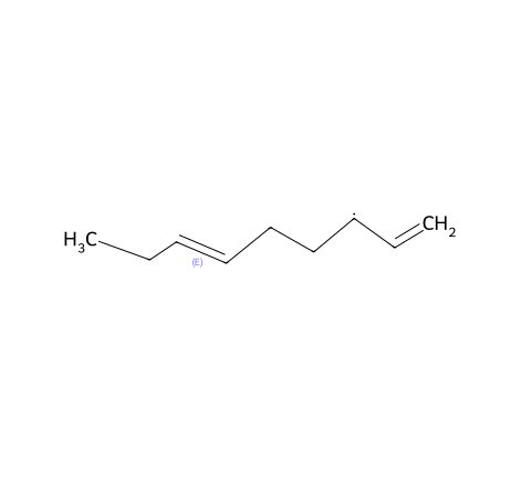 C=C[CH]CC/C=C/CC